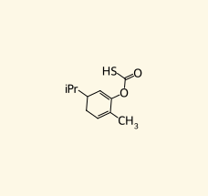 CC1=CCC(C(C)C)C=C1OC(=O)S